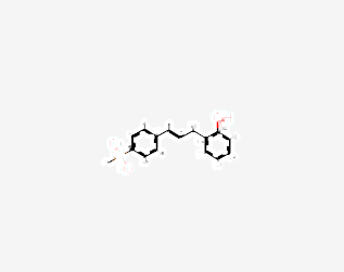 CS(=O)(=O)c1ccc(/C=C/Cc2ccccc2O)cc1